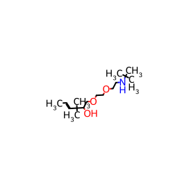 CC=CC(C)(C)C(O)COCCOCCNC(C)(C)C